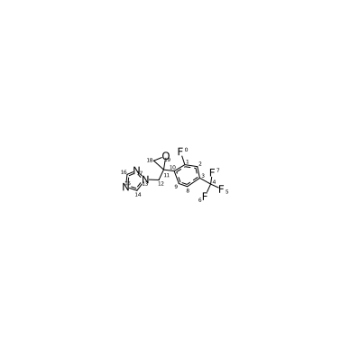 Fc1cc(C(F)(F)F)ccc1C1(Cn2cncn2)CO1